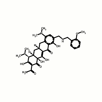 COc1ccccc1CNCc1cc(N(C)C)c2c(c1O)C(=O)C1=C(O)[C@]3(O)C(=O)C(C(N)=O)=C(O)[C@@H](N(C)C)[C@@H]3C[C@@H]1C2